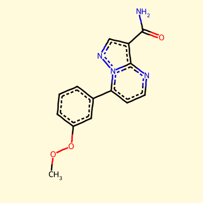 COOc1cccc(-c2ccnc3c(C(N)=O)cnn23)c1